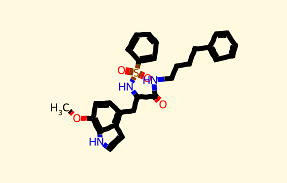 COc1ccc(CC(NS(=O)(=O)c2ccccc2)C(=O)NCCCCc2ccccc2)c2cc[nH]c12